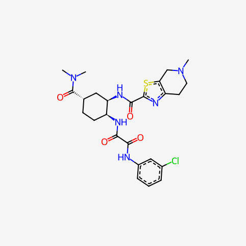 CN1CCc2nc(C(=O)N[C@@H]3C[C@@H](C(=O)N(C)C)CC[C@@H]3NC(=O)C(=O)Nc3cccc(Cl)c3)sc2C1